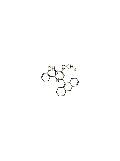 COc1cc(C2=C3CCCCC3CC3C=CC=CC23)nc(C2=C(O)C=CCC2)n1